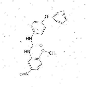 COc1ccc(N=O)cc1NC(=O)Nc1ccc(Oc2ccncc2)cc1